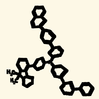 CC1(C)c2ccccc2-c2c(-c3ccc(N(c4ccc(-c5cccc(-c6ccccc6)c5)cc4)c4cccc(-c5ccc(-c6ccc7ccccc7c6)cc5)c4)cc3)cccc21